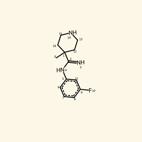 CC1(C(=N)Nc2cccc(F)c2)CCNCC1